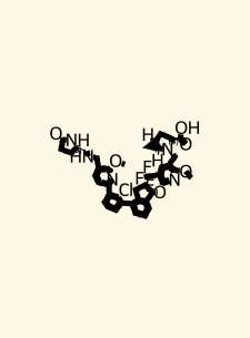 COc1nc(-c2cccc(-c3cccc4c3CC[C@@H]4Oc3nc(OC)c(CN4[C@H](C(=O)O)C[C@@H]5C[C@@H]54)cc3C(F)(F)F)c2Cl)ccc1CNC[C@@H]1CCC(=O)N1